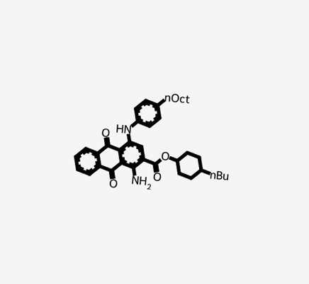 CCCCCCCCc1ccc(Nc2cc(C(=O)OC3CCC(CCCC)CC3)c(N)c3c2C(=O)c2ccccc2C3=O)cc1